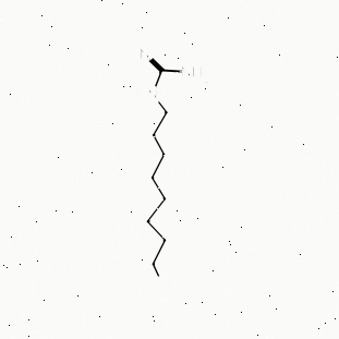 N=C(N)NCCCCCCCC[C]=O